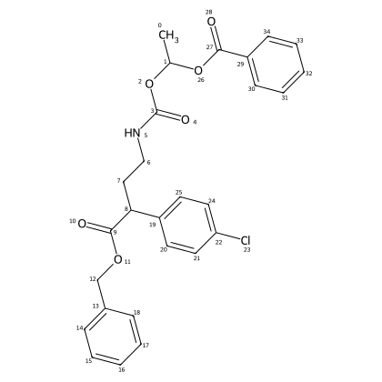 CC(OC(=O)NCCC(C(=O)OCc1ccccc1)c1ccc(Cl)cc1)OC(=O)c1ccccc1